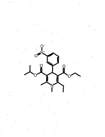 CCOC(=O)C1=C(CC)N(C)C(C)=C(C(=O)OC(C)C)C1c1cccc([N+](=O)[O-])c1